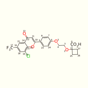 O=C(O)C1(OCCOc2ccc(-c3cc(=O)c4cc(C(F)(F)F)cc(Cl)c4o3)cc2)CCC1